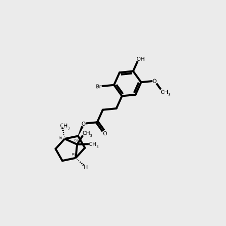 COc1cc(CCC(=O)O[C@H]2C[C@H]3CC[C@]2(C)C3(C)C)c(Br)cc1O